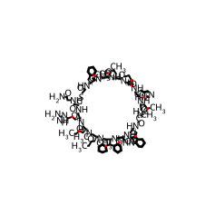 CCCC[C@H]1C(=O)N(C)[C@@H](CCCC)C(=O)N[C@@H](CCCNC(=N)N)C(=O)NC(C(=O)NCC(N)=O)CSCC(=O)N[C@@H](Cc2ccccc2)C(=O)N(C)[C@@H](C)C(=O)N[C@@H](CC(C)=O)C(=O)N2CCC[C@H]2C(=O)N[C@@H](Cc2cnc[nH]2)C(=O)N[C@@H](CC(C)C)C(=O)N(C)CC(=O)N[C@@H](Cc2c[nH]c3ccccc23)C(=O)NC(CO)C(=O)NC(C(c2ccccc2)c2ccccc2)C(=O)N1C